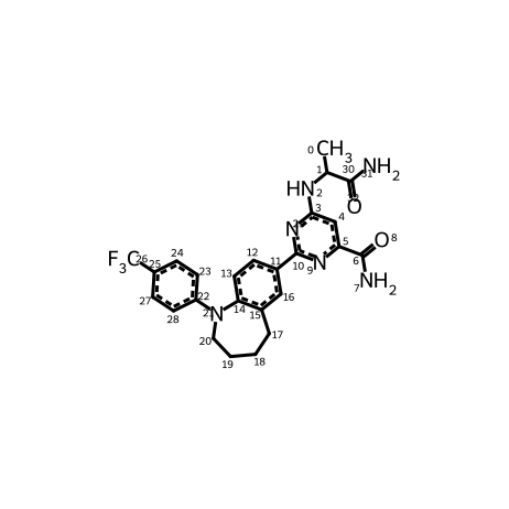 CC(Nc1cc(C(N)=O)nc(-c2ccc3c(c2)CCCCN3c2ccc(C(F)(F)F)cc2)n1)C(N)=O